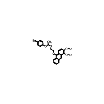 CCC(C)c1ccc(OC(C)OCCOc2c3ccccc3cc3c(OC)c(OC)ccc23)cc1